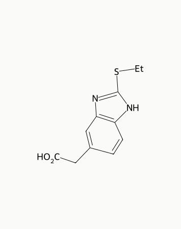 CCSc1nc2cc(CC(=O)O)ccc2[nH]1